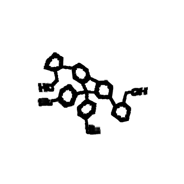 CC(C)(C)c1ccc(C2(c3ccc(C(C)(C)C)cc3)c3cc(-c4ccccc4CO)ccc3-c3ccc(-c4ccccc4CO)cc32)cc1